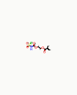 C=C(C)C(=O)OCCOC(=O)NS(=O)(=O)Cl